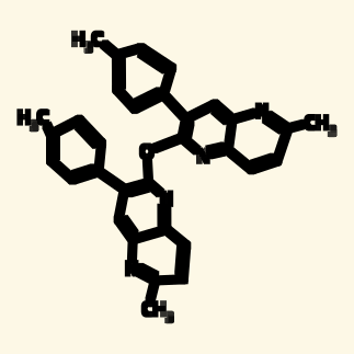 Cc1ccc(-c2cc3nc(C)ccc3nc2Oc2nc3ccc(C)nc3cc2-c2ccc(C)cc2)cc1